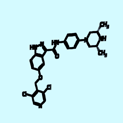 C[C@@H]1CN(c2ccc(NC(=O)c3n[nH]c4ccc(OCc5c(Cl)cncc5Cl)cc34)cc2)C[C@H](C)N1